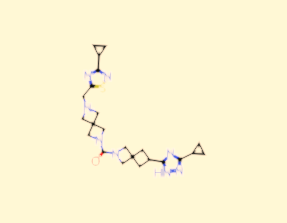 O=C(N1CC2(CC(c3nc(C4CC4)n[nH]3)C2)C1)N1CC2(CN(Cc3nc(C4CC4)ns3)C2)C1